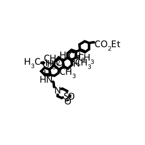 C=C(C)[C@@H]1CC[C@]2(NCCN3CCS(=O)(=O)CC3)CC[C@]3(C)[C@H](CC[C@@H]4[C@@]5(C)CC=C(C6=CCC(CC(=O)OCC)CC6)C(C)(C)[C@@H]5CC[C@]43C)[C@@H]12